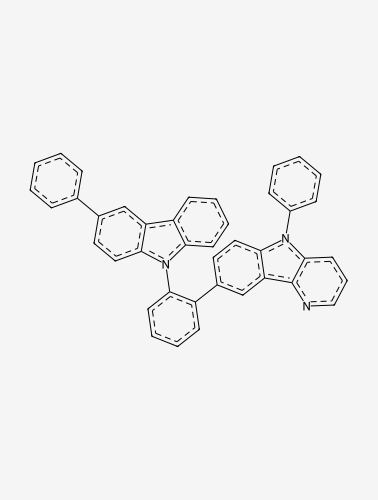 c1ccc(-c2ccc3c(c2)c2ccccc2n3-c2ccccc2-c2ccc3c(c2)c2ncccc2n3-c2ccccc2)cc1